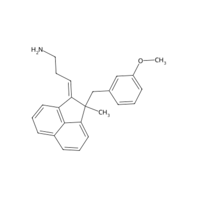 COc1cccc(CC2(C)/C(=C/CCN)c3cccc4cccc2c34)c1